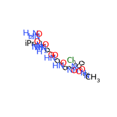 CC(C)[C@H](N)C(=O)N[C@@H](CCCNC(N)=O)C(=O)Nc1ccc(COC(=O)Nc2ccc(C(=O)Nc3ccc4[nH]c(C(=O)N5C[C@@H](CCl)c6c5cc(OC(=O)N5CCN(C)CC5)c5ccccc65)cc4c3)cc2)cc1